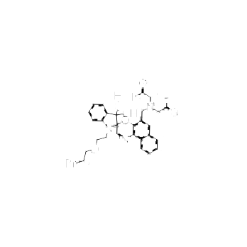 CC1(C)c2ccccc2N(CCOCCBr)C12C=Nc1c(c(CN(CC(=O)F)CC(=O)F)cc3ccccc13)O2